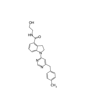 Cc1ccc(Cc2cc(N3CCc4c(C(=O)NCCO)cccc43)ncn2)cc1